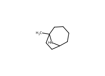 CC12CCCCC(CC1)N2